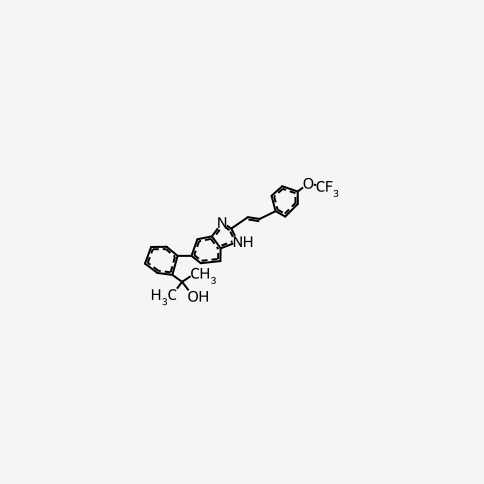 CC(C)(O)c1ccccc1-c1ccc2[nH]c(/C=C/c3ccc(OC(F)(F)F)cc3)nc2c1